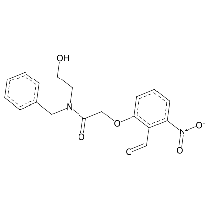 O=Cc1c(OCC(=O)N(CCO)Cc2ccccc2)cccc1[N+](=O)[O-]